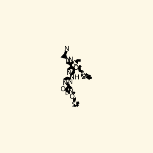 CCOc1nn(C2CC2C#N)cc1-c1cnc(Nc2ccnc(-c3cn(COCC[Si](C)(C)C)n(C)c3=O)n2)cc1OC(C)CCO[Si](C)(C)C(C)(C)C